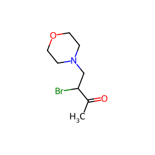 CC(=O)C(Br)CN1CCOCC1